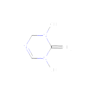 C=C1N(C)C=NCN1C